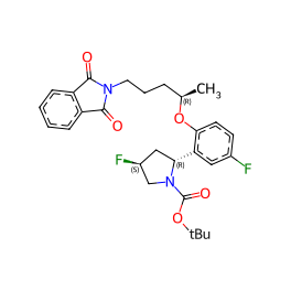 C[C@H](CCCN1C(=O)c2ccccc2C1=O)Oc1ccc(F)cc1[C@H]1C[C@H](F)CN1C(=O)OC(C)(C)C